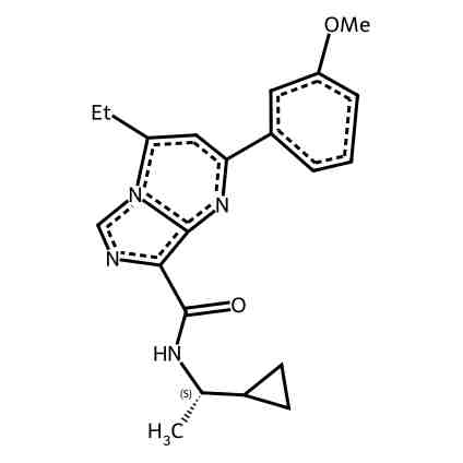 CCc1cc(-c2cccc(OC)c2)nc2c(C(=O)N[C@@H](C)C3CC3)ncn12